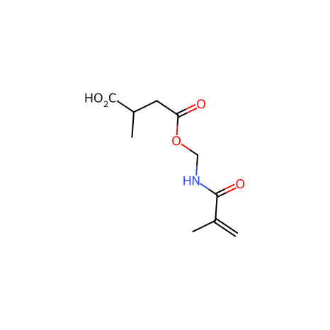 C=C(C)C(=O)NCOC(=O)CC(C)C(=O)O